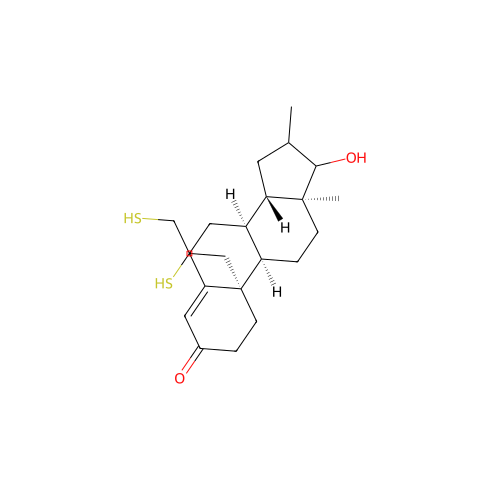 CC1C[C@H]2[C@@H]3CCC4=CC(=O)CC[C@]4(CC(S)CS)[C@@H]3CC[C@]2(C)C1O